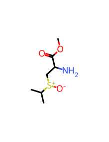 COC(=O)C(N)C[S+]([O-])C(C)C